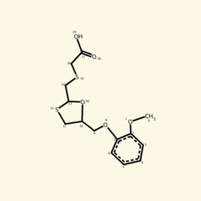 COc1ccccc1OCC1CSC(CSCC(=O)O)O1